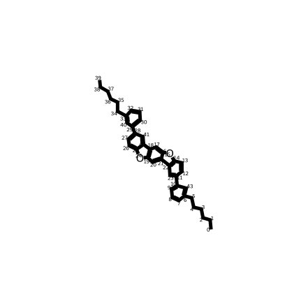 CCCCCCc1cccc(-c2ccc3oc4cc5c(cc4c3c2)oc2ccc(-c3cccc(CCCCCC)c3)cc25)c1